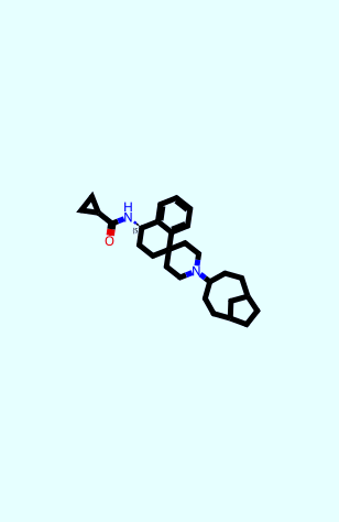 O=C(N[C@H]1CCC2(CCN(C3CCC4CCC(CC3)C4)CC2)c2ccccc21)C1CC1